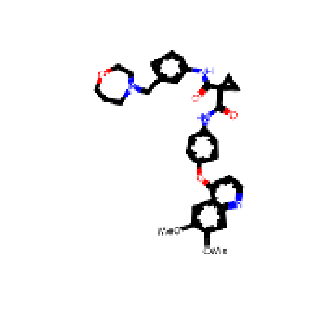 COc1cc2nccc(Oc3ccc(NC(=O)C4(C(=O)Nc5cccc(CN6CCCOCC6)c5)CC4)cc3)c2cc1OC